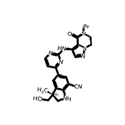 CC(C)N1CCn2ncc(Nc3nccc(-c4cc(C#N)c5c(c4)[C@@](C)(CO)CN5)n3)c2C1=O